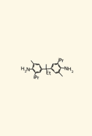 CCC(C)(c1cc(C)c(N)c(C(C)C)c1)c1cc(C)c(N)c(C(C)C)c1